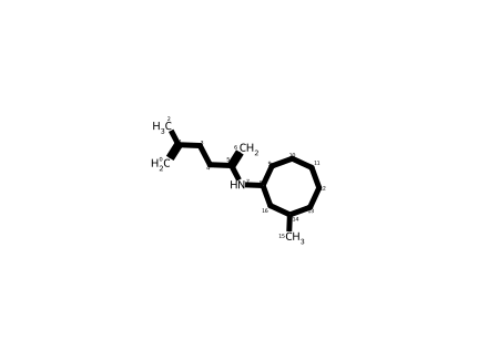 C=C(C)CCC(=C)NC1CCCCCC(C)C1